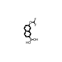 OB(O)c1ccc2ccc(OC(F)F)cc2c1